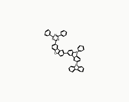 c1ccc(-c2nc(-c3ccccc3)nc(-c3ccc4oc5ccc(-c6ccc7c(c6)c6cc(-n8c9ccccc9c9ccccc98)ccc6n7-c6ccccc6)cc5c4c3)n2)cc1